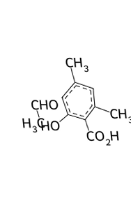 CC=O.Cc1cc(C)c(C(=O)O)c(O)c1